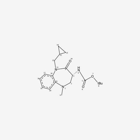 CN1C[C@@H](NC(=O)OC(C)(C)C)C(=O)N(CC2CC2)c2ccccc21